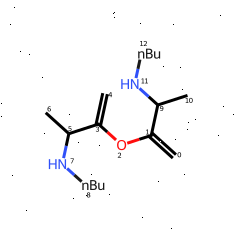 C=C(OC(=C)C(C)NCCCC)C(C)NCCCC